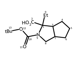 CCC1(C(=O)O)C2CCCC2CN1C(=O)OC(C)(C)C